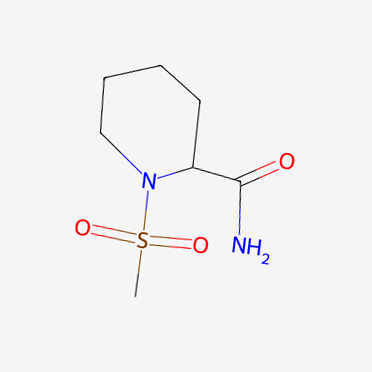 CS(=O)(=O)N1CCCCC1C(N)=O